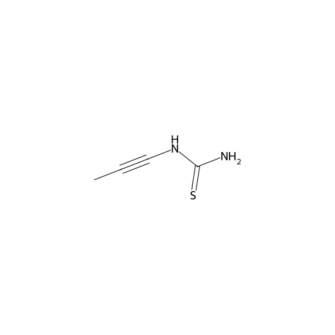 CC#CNC(N)=S